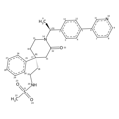 C[C@@H](c1ccc(-c2cccnc2)cc1)N1CC[C@](CCNS(C)(=O)=O)(c2ccccc2)CC1=O